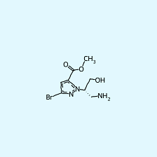 COC(=O)c1cc(Br)nn1[C@@H](CN)CO